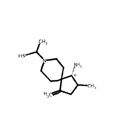 C=C1CC(C)[C@@H](N)C12CCN(C(C)S)CC2